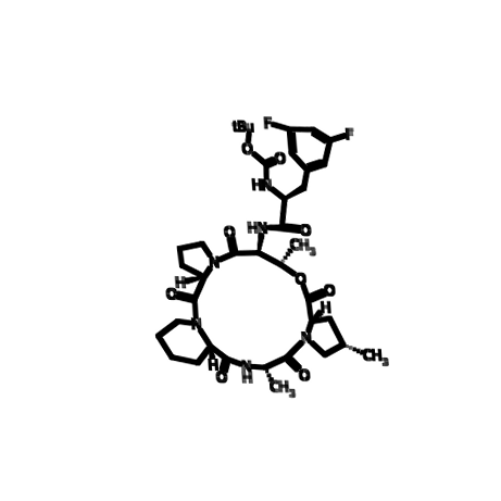 C[C@H]1C[C@H]2C(=O)O[C@@H](C)[C@H](NC(=O)[C@H](Cc3cc(F)cc(F)c3)NC(=O)OC(C)(C)C)C(=O)N3CCC[C@H]3C(=O)N3CCCC[C@H]3C(=O)N[C@@H](C)C(=O)N2C1